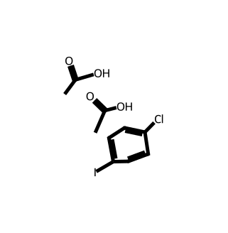 CC(=O)O.CC(=O)O.Clc1ccc(I)cc1